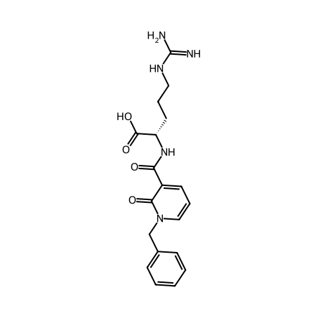 N=C(N)NCCC[C@H](NC(=O)c1cccn(Cc2ccccc2)c1=O)C(=O)O